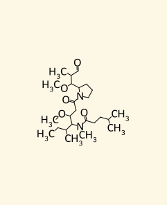 CCC(C)C(C(CC(=O)N1CCCC1C(OC)C(C)C=O)OC)N(C)C(=O)CCC(C)C